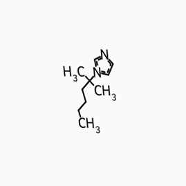 CCCCC(C)(C)n1ccnc1